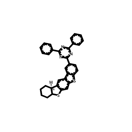 c1ccc(-c2nc(-c3ccccc3)nc(-c3ccc4sc5cc6c(cc5c4c3)[C@@H]3CCCCC3S6)n2)cc1